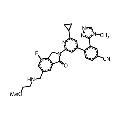 COCCNCc1cc(F)c2c(c1)C(=O)N(c1cc(-c3ccc(C#N)cc3-c3nncn3C)cc(C3CC3)n1)C2